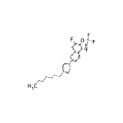 CCCCCCCc1ccc(-c2ccc3c(F)c(OC(F)(F)F)c(F)cc3c2)cc1